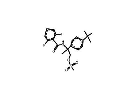 CC(C)(C)c1ccc(C(C)(COS(C)(=O)=O)NC(=O)c2c(F)cccc2F)cc1